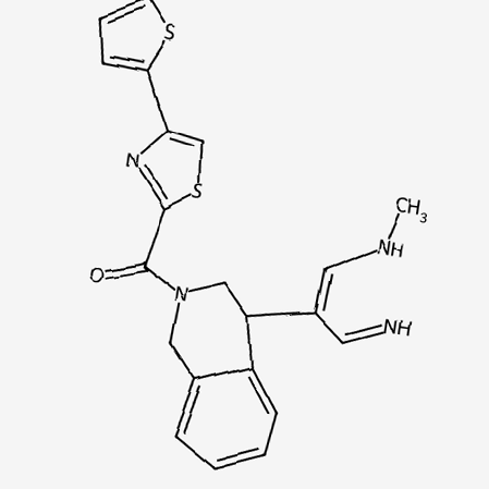 CN/C=C(\C=N)C1CN(C(=O)c2nc(-c3cccs3)cs2)Cc2ccccc21